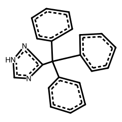 c1ccc(C(c2ccccc2)(c2ccccc2)c2nc[nH]n2)cc1